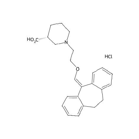 Cl.O=C(O)[C@@H]1CCCN(CCOC=C2c3ccccc3CCc3ccccc32)C1